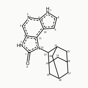 O=c1[nH]c2cnc3[nH]ccc3c2n1C1C2C[C]3CC(C2)CC1C3